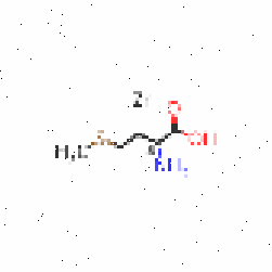 CSCC[C@H](N)C(=O)O.[Zr]